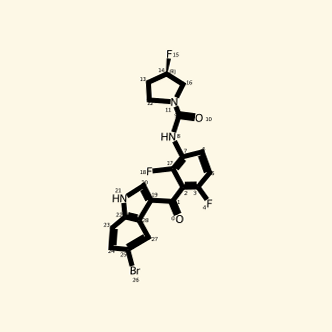 O=C(c1c(F)ccc(NC(=O)N2CC[C@@H](F)C2)c1F)c1c[nH]c2ccc(Br)cc12